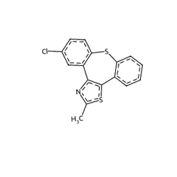 Cc1nc2c(s1)-c1ccccc1Sc1ccc(Cl)cc1-2